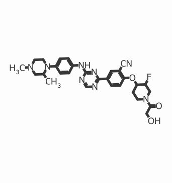 CC1CN(C)CCN1c1ccc(Nc2ncnc(-c3ccc(OC4CCN(C(=O)CO)CC4F)c(C#N)c3)n2)cc1